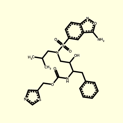 CC(C)CN(CC(O)C(Cc1ccccc1)NC(=O)OCc1cncs1)S(=O)(=O)c1ccc2noc(N)c2c1